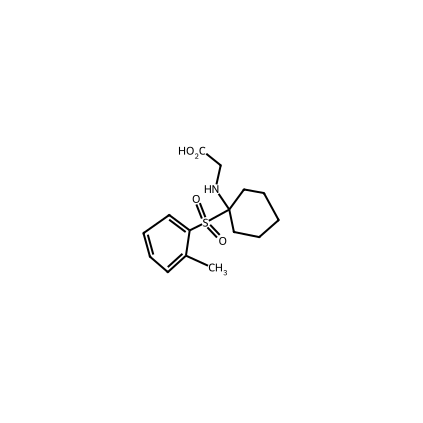 Cc1ccccc1S(=O)(=O)C1(NCC(=O)O)CCCCC1